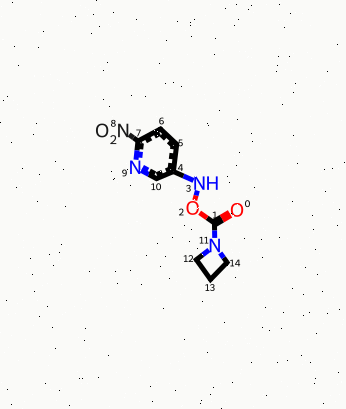 O=C(ONc1ccc([N+](=O)[O-])nc1)N1CCC1